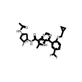 CC(=O)N[C@H]1C[C@@H](F)[C@H](NC(=O)c2c(C)[nH]c3c(-c4cc(C(F)F)ccc4OCC4CC4)ncnc23)C1